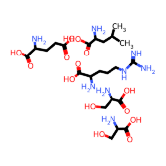 CC(C)CC(N)C(=O)O.N=C(N)NCCCC(N)C(=O)O.NC(CCC(=O)O)C(=O)O.NC(CO)C(=O)O.NC(CO)C(=O)O